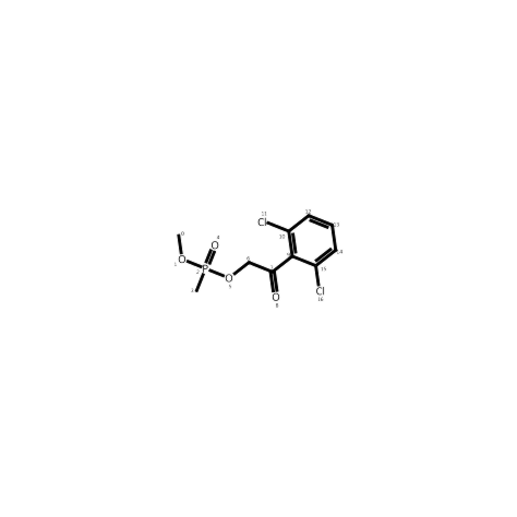 COP(C)(=O)OCC(=O)c1c(Cl)cccc1Cl